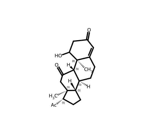 CC(=O)[C@H]1CC[C@H]2[C@@H]3CCC4=CC(=O)CC(O)[C@]4(C)[C@H]3C(=O)C[C@]12C